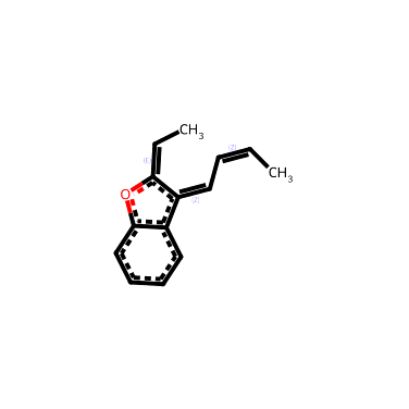 C\C=C/C=c1\c(=C/C)oc2ccccc12